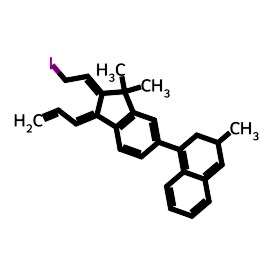 C=C/C=C1\C(=C/CI)C(C)(C)c2cc(C3=c4ccccc4=CC(C)C3)ccc21